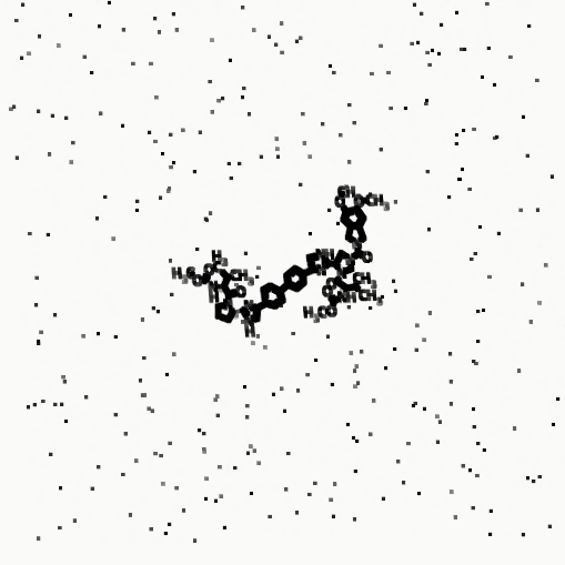 COC(=O)N[C@H](C(=O)N1CN(C(=O)N2Cc3cc(OC)c(OC)cc3C2)CC1c1nc(-c2ccc(-c3ccc(-c4c[nH]c([C@@H]5CCCN5C(=O)[C@@H](NC(=O)OC)C(C)C)n4)cc3)cc2)c[nH]1)C(C)C